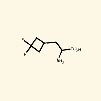 NC(CC1CC(F)(F)C1)C(=O)O